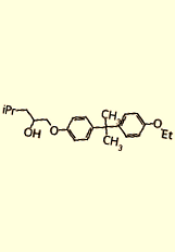 CCOc1ccc(C(C)(C)c2ccc(OCC(O)CC(C)C)cc2)cc1